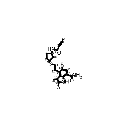 CC#CC(=O)NC1CCC(SCCc2c(F)cc(C(N)=O)c3[nH]c(C)c(C)c23)C1